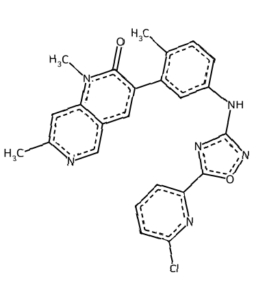 Cc1cc2c(cn1)cc(-c1cc(Nc3noc(-c4cccc(Cl)n4)n3)ccc1C)c(=O)n2C